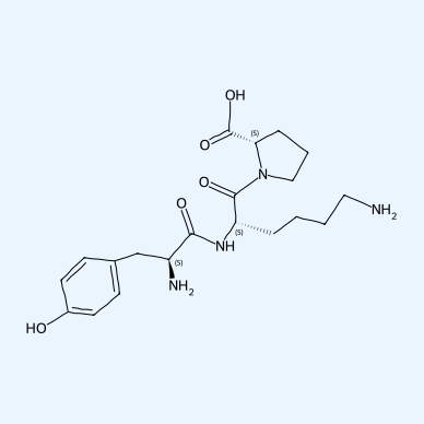 NCCCC[C@H](NC(=O)[C@@H](N)Cc1ccc(O)cc1)C(=O)N1CCC[C@H]1C(=O)O